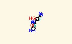 CNC1CCCC(F)[C@@H](Oc2ccc(-c3cc(F)c(-c4cnn(C)c4)cc3O)nn2)C1